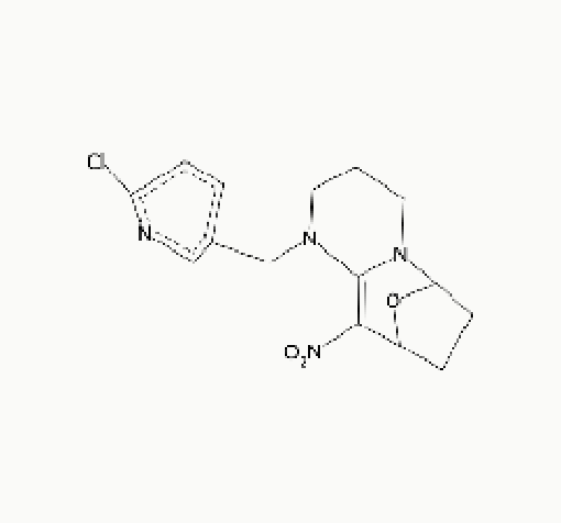 O=[N+]([O-])C1=C2N(Cc3ccc(Cl)nc3)CCCN2C2CCC1O2